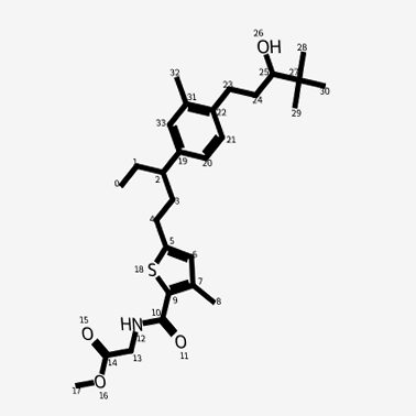 CCC(CCc1cc(C)c(C(=O)NCC(=O)OC)s1)c1ccc(CCC(O)C(C)(C)C)c(C)c1